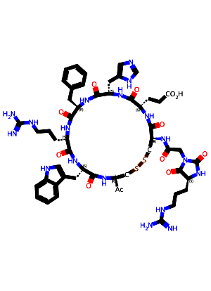 CC(=O)[C@@H]1CSSC[C@H](NC(=O)CN2C(=O)N[C@@H](CCCNC(=N)N)C2=O)C(=O)N[C@@H](CCC(=O)O)C(=O)N[C@@H](Cc2cnc[nH]2)C(=O)N[C@H](Cc2ccccc2)C(=O)N[C@@H](CCCNC(=N)N)C(=O)N[C@@H](Cc2c[nH]c3ccccc23)C(=O)N1